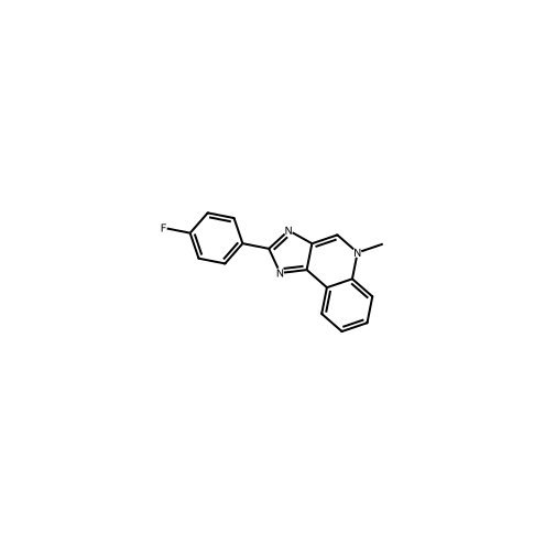 Cn1cc2nc(-c3ccc(F)cc3)nc-2c2ccccc21